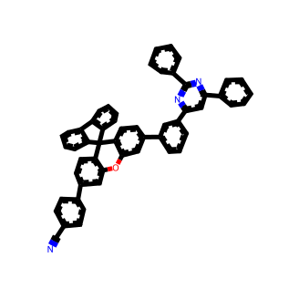 N#Cc1ccc(-c2ccc3c(c2)Oc2cc(-c4cccc(-c5cc(-c6ccccc6)nc(-c6ccccc6)n5)c4)ccc2C32c3ccccc3-c3ccccc32)cc1